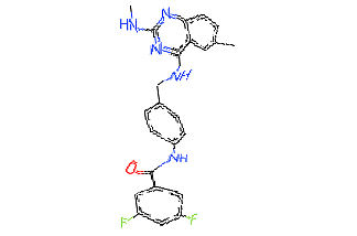 CNc1nc(NCc2ccc(NC(=O)c3cc(F)cc(F)c3)cc2)c2cc(C)ccc2n1